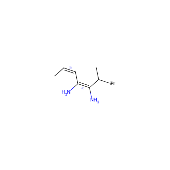 C/C=C\C(N)=C(\N)C(C)C(C)C